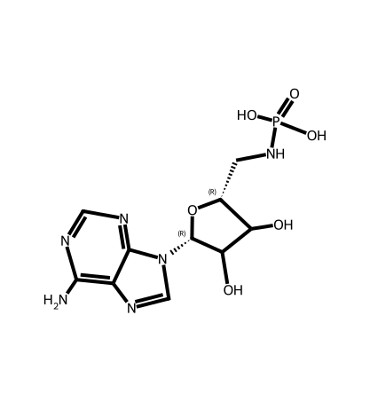 Nc1ncnc2c1ncn2[C@@H]1O[C@H](CNP(=O)(O)O)C(O)C1O